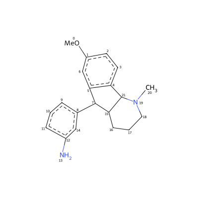 COc1ccc2c(c1)C(c1cccc(N)c1)C1CCCN(C)C21